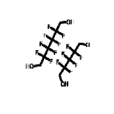 OCC(F)(F)C(F)(F)C(F)(F)C(F)(F)CO.OCC(F)(F)C(F)(F)C(F)(F)CO